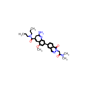 CCCN(CCC)C(=O)C1=Cc2c(cc(-c3ccc4c(=O)n(CC(=O)N(C)C)ncc4c3)cc2OC)N=C(N)C1